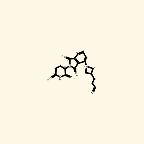 O=CCCC1CN(c2cccc3c2C(=O)N(C2CCC(=O)NC2=O)C3=O)C1